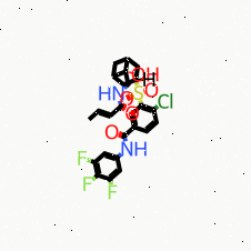 C/C=C/C(=O)NC[C@]1(O)C2CC1C[C@@H](S(=O)(=O)c1cc(C(=O)Nc3cc(F)c(F)c(F)c3)ccc1Cl)C2